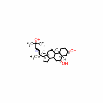 C[C@H](/C=C/C(O)(C(F)(F)F)C(F)(F)F)[C@H]1CCC2C3C[C@H](O)[C@@H]4C[C@H](O)CC[C@]4(C)C3CC[C@@]21C